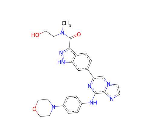 CN(CCO)C(=O)c1n[nH]c2cc(-c3cn4ccnc4c(Nc4ccc(N5CCOCC5)cc4)n3)ccc12